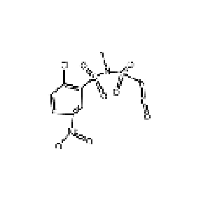 CN(S(=O)(=O)N=C=O)S(=O)(=O)c1cc([N+](=O)[O-])ccc1Cl